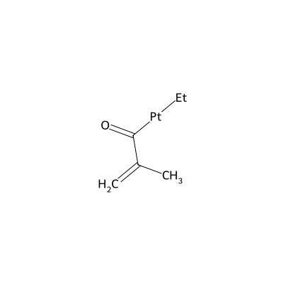 C=C(C)[C](=O)[Pt][CH2]C